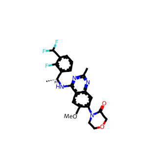 COc1cc2c(N[C@H](C)c3cccc(C(F)F)c3F)nc(C)nc2cc1N1CCOCC1=O